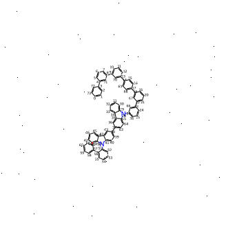 c1ccc(-c2cccc(-c3cccc(-c4ccc(-c5cccc(-c6cccc(-n7c8ccccc8c8cc(-c9ccc%10c(c9)c9ccccc9n%10-c9ccccc9-c9ccccc9)ccc87)c6)c5)cc4)c3)c2)cc1